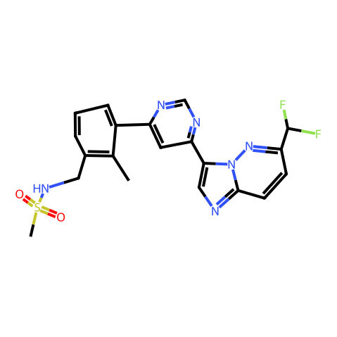 Cc1c(CNS(C)(=O)=O)cccc1-c1cc(-c2cnc3ccc(C(F)F)nn23)ncn1